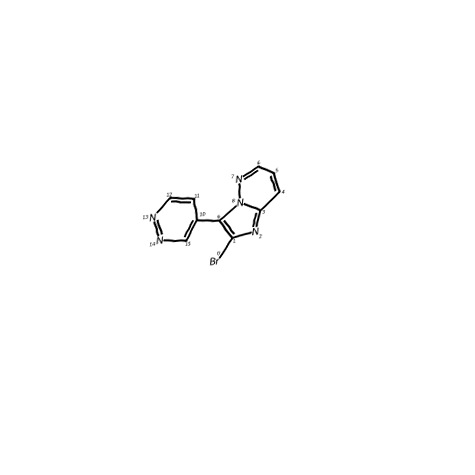 Brc1nc2cccnn2c1-c1ccnnc1